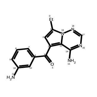 CCc1cc(C(=O)c2cccc(N)c2)c2c(N)ncnn12